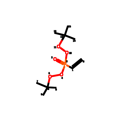 C=CP(=O)(OOC(C)(C)C)OOC(C)(C)C